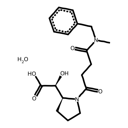 CN(Cc1ccccc1)C(=O)CCC(=O)N1CCC[C@H]1[C@H](O)C(=O)O.O